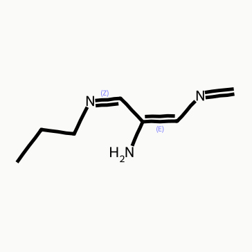 C=N/C=C(N)\C=N/CCC